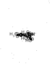 COC(=O)c1ccc(OC[C@@H](O)[C@@H](O)[C@@H]2OC(C(=O)O)=C[C@H](N=[N+]=[N-])[C@H]2NC(C)=O)cc1